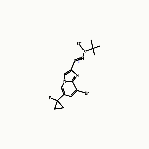 CC(C)(C)[S+]([O-])/N=C/c1cn2cc(C3(F)CC3)cc(Br)c2n1